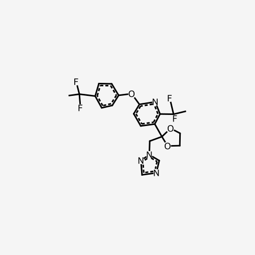 CC(F)(F)c1ccc(Oc2ccc(C3(Cn4cncn4)OCCO3)c(C(C)(F)F)n2)cc1